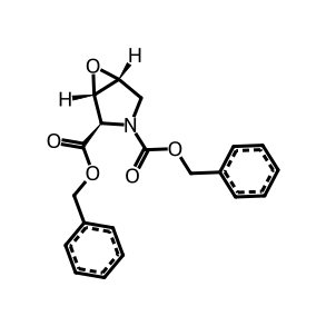 O=C(OCc1ccccc1)[C@H]1[C@@H]2O[C@@H]2CN1C(=O)OCc1ccccc1